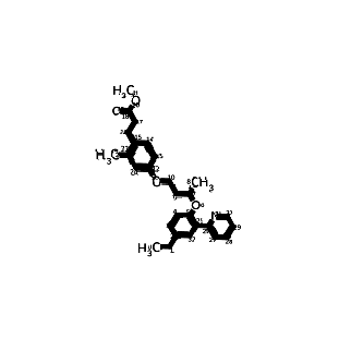 CCc1ccc(OC(C)CCOc2ccc(CCC(=O)OC)c(C)c2)c(-c2ccccn2)c1